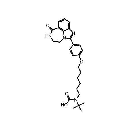 CC(C)(C)N(CCCCCCOc1ccc(-c2nc3cccc4c3n2CCNC4=O)cc1)C(=O)O